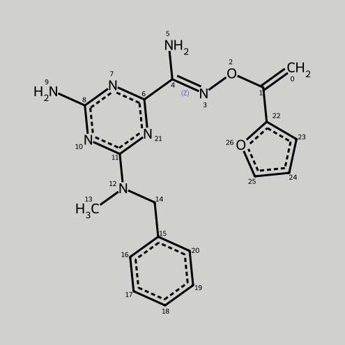 C=C(O/N=C(\N)c1nc(N)nc(N(C)Cc2ccccc2)n1)c1ccco1